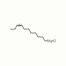 CC/C=C\CCCCCC[CH2][Mg][Cl]